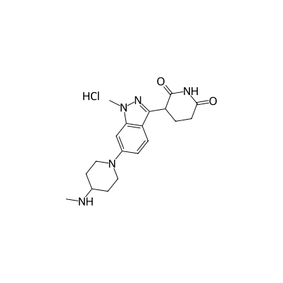 CNC1CCN(c2ccc3c(C4CCC(=O)NC4=O)nn(C)c3c2)CC1.Cl